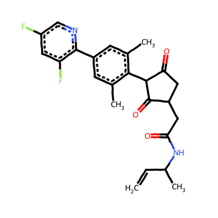 C=CC(C)NC(=O)CC1CC(=O)C(c2c(C)cc(-c3ncc(F)cc3F)cc2C)C1=O